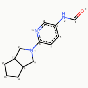 O=CNc1ccc(N2CC3CCCC3C2)nc1